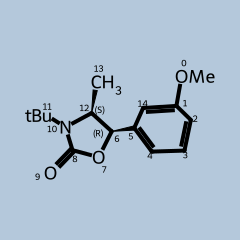 COc1cccc([C@H]2OC(=O)N(C(C)(C)C)[C@H]2C)c1